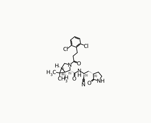 CC1(C)[C@@H]2[C@@H](C(=O)N[C@H](C#N)C[C@@H]3CCNC3=O)N(C(=O)CCc3c(Cl)cccc3Cl)C[C@@H]21